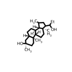 CCC(O)C1CC(C)[C@H]2[C@@H]3CC[C@H]4C[C@](C)(O)CC[C@]4(C)[C@H]3CC[C@]12C